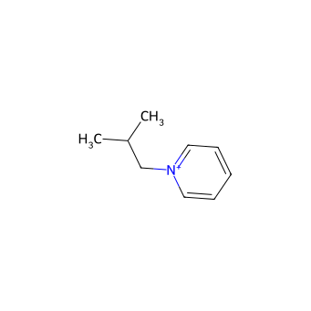 CC(C)C[n+]1ccccc1